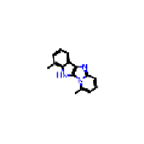 Cc1cccc2c1[nH]c1c2nc2cccc(C)n21